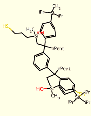 CCCCCC(C[Si](C)(O)CCCS)(c1ccc([Si](C)(C(C)C)C(C)C)cc1)c1cccc(C(CCCCC)(C[Si](C)(O)CCCS)c2ccc([Si](C(C)C)(C(C)C)C(C)C)cc2)c1